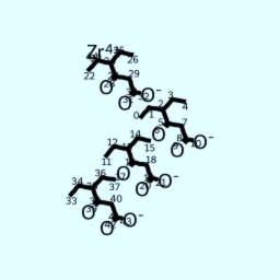 CCC(CC)C(=O)CC(=O)[O-].CCC(CC)C(=O)CC(=O)[O-].CCC(CC)C(=O)CC(=O)[O-].CCC(CC)C(=O)CC(=O)[O-].[Zr+4]